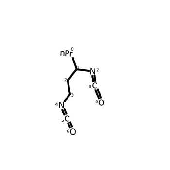 CCCC(CCN=C=O)N=C=O